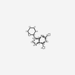 Clc1nc(Cl)c2nnn(C3CCCCO3)c2n1